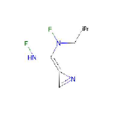 CC(C)CN(F)/C(NF)=C1C=N/1